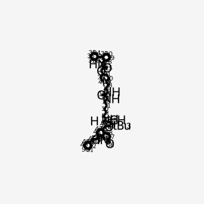 CC(C)(C)[Si](C)(C)O[C@H](CNCCCCCNC(=O)NCCN1CCC(OC(=O)Nc2ccccc2-c2ccccc2)CC1)c1ccc(OCc2ccccc2)c2[nH]c(=O)ccc12